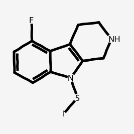 Fc1cccc2c1c1c(n2SI)CNCC1